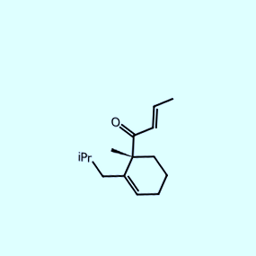 C/C=C/C(=O)[C@]1(C)CCCC=C1CC(C)C